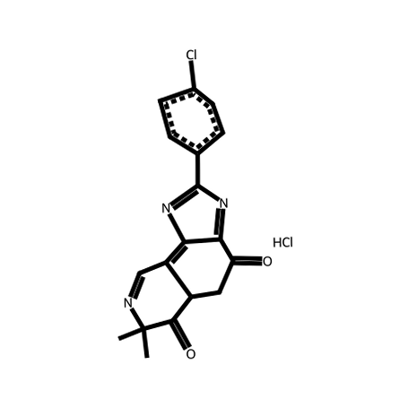 CC1(C)N=CC2=C3N=C(c4ccc(Cl)cc4)N=C3C(=O)CC2C1=O.Cl